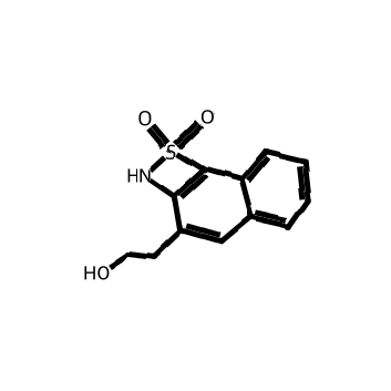 O=S1(=O)Nc2c(CCO)cc3ccccc3c21